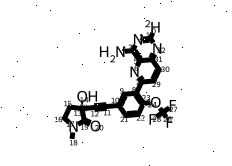 [2H]c1nc(N)c2nc(-c3cc(C#C[C@]4(O)CCN(C)C4=O)ccc3OC(F)(F)F)ccc2n1